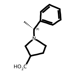 C[C@H](c1ccccc1)N1CCC(C(=O)O)C1